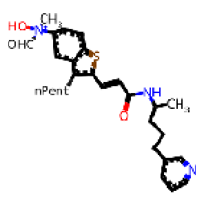 CCCCCc1c(/C=C/C(=O)NC(C)CCCc2cccnc2)sc2ccc([N@@+](C)(O)C=O)cc12